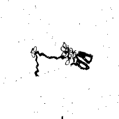 CCCCCCCC1(CCCCCCC=C[C@H](C(=O)N2C(=O)SC(c3ccccc3)(c3ccccc3)C2C(C)C)[C@@](O)(COC)C(=O)O)OCCO1